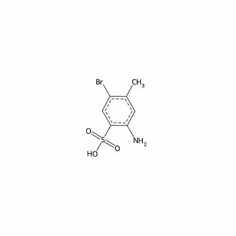 Cc1cc(N)c(S(=O)(=O)O)cc1Br